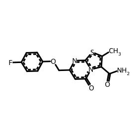 Cc1sc2nc(COc3ccc(F)cc3)cc(=O)n2c1C(N)=O